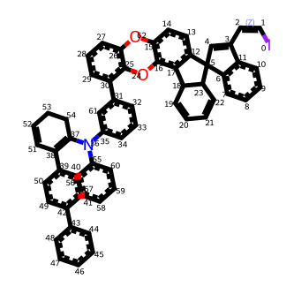 I/C=C\C1=CC2(c3ccccc31)c1ccc3c(c1C1C=CC=CC12)Oc1c(cccc1-c1cccc(N(C2=C(c4ccc(-c5ccccc5)cc4)C=CCC2)c2ccccc2)c1)O3